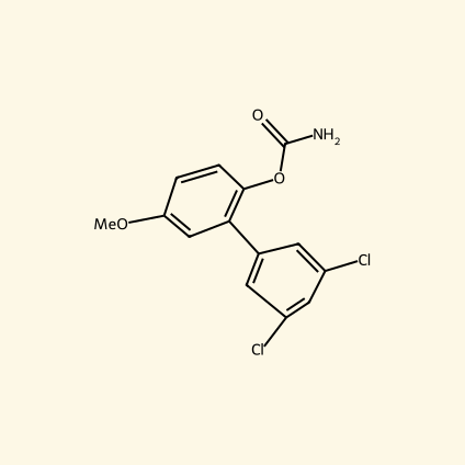 COc1ccc(OC(N)=O)c(-c2cc(Cl)cc(Cl)c2)c1